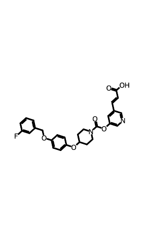 O=C(O)C=Cc1cncc(OC(=O)N2CCC(Oc3ccc(OCc4cccc(F)c4)cc3)CC2)c1